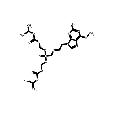 COc1nc(N)nc2c1ncn2CCOCP(=O)(OCOC(=O)OC(C)C)OCOC(=O)OC(C)C